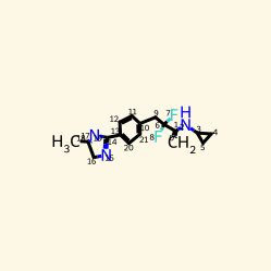 C=C(NC1CC1)C(F)(F)Cc1ccc(C2=NCC(C)=N2)cc1